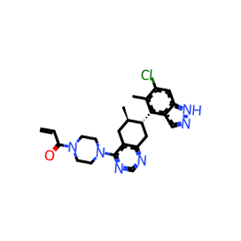 C=CC(=O)N1CCN(c2ncnc3c2C[C@@H](C)[C@H](c2c(C)c(Cl)cc4[nH]ncc24)C3)CC1